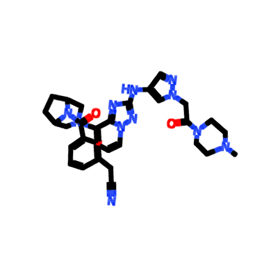 CN1CCN(C(=O)Cn2cc(Nc3nc4c(N5CC6CCC(C5)N6C(=O)c5cccc(CC#N)c5)cccn4n3)cn2)CC1